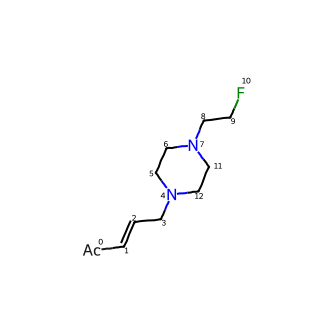 CC(=O)/C=C/CN1CCN(CCF)CC1